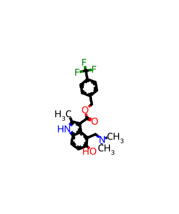 Cc1[nH]c2ccc(O)c(CN(C)C)c2c1C(=O)OCc1ccc(C(F)(F)F)cc1